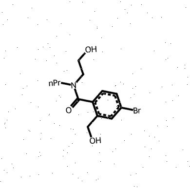 CCCN(CCO)C(=O)c1ccc(Br)cc1CO